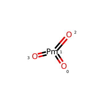 [O]=[Pm](=[O])=[O]